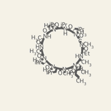 C/C=C/C[C@@H](C)C[C@H]1C(C)N[C@@H](CC)C(=O)N(C)CC(=O)N(C)[C@@H](CC(C)C)C(=O)NC(C(C)C)C(=O)N(C)[C@@H](CC(C)C)C(=O)N[C@@H](C)C(=O)NC(C)C(=O)N(C)[C@@H](CC(C)C)C(=O)N(C)C(CC(C)C)C(=O)N(C)[C@@H](C(C)C)C(=O)N1C